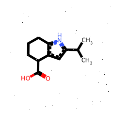 CC(C)c1cc2c([nH]1)CCCC2C(=O)O